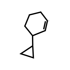 [C]1=CC(C2CC2)CCC1